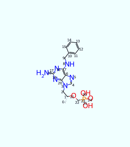 C[C@H](Cn1cnc2c(NCc3ccccc3)nc(N)nc21)OCP(=O)(O)O